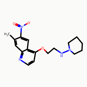 Cc1cc2nccc(OCCNN3CCCCC3)c2cc1[N+](=O)[O-]